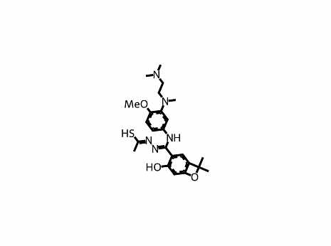 COc1ccc(N/C(=N\N=C(/C)S)c2cc3c(cc2O)OC3(C)C)cc1N(C)CCN(C)C